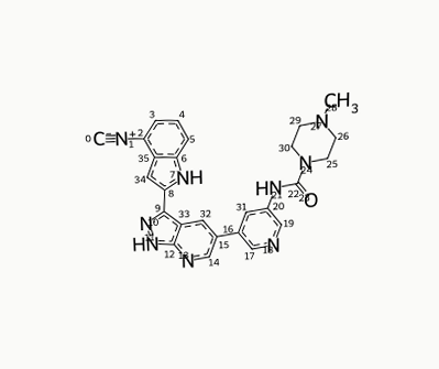 [C-]#[N+]c1cccc2[nH]c(-c3n[nH]c4ncc(-c5cncc(NC(=O)N6CCN(C)CC6)c5)cc34)cc12